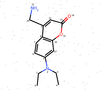 CCN(CC)c1ccc2c(CN)cc(=O)oc2c1